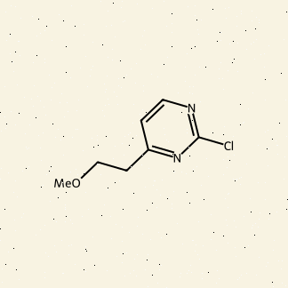 COCCc1ccnc(Cl)n1